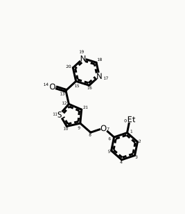 CCc1ccccc1OCc1csc(C(=O)c2cncnc2)c1